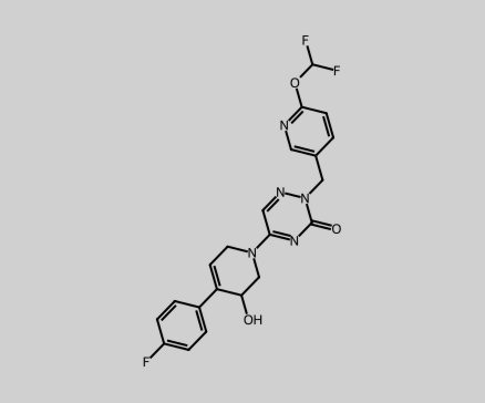 O=c1nc(N2CC=C(c3ccc(F)cc3)C(O)C2)cnn1Cc1ccc(OC(F)F)nc1